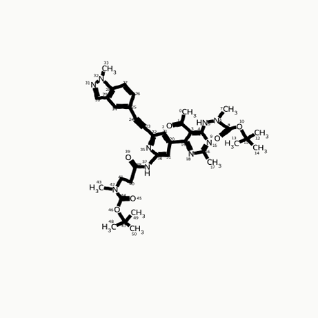 CC(=O)c1c(NN(C)C(=O)OC(C)(C)C)nc(C)nc1-c1cc(C#Cc2ccc3c(cnn3C)c2)nc(NC(=O)CCN(C)C(=O)OC(C)(C)C)c1